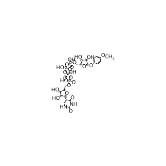 COc1ccc(O[C@@H]2O[C@H](COP(=O)(O)OP(=O)(O)OP(=O)(O)OP(=O)(O)OC[C@H]3O[C@@H](c4c[nH]c(=O)[nH]c4=O)[C@H](O)[C@@H]3O)[C@@H](O)[C@H]2O)cc1